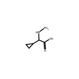 O=C(O)C(NP)C1CC1